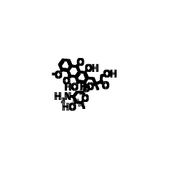 COc1cccc2c1C(=O)c1c(O)c(O[C@H]3CC(N)[C@@H](O)[C@H](C)O3)c(C[C@@](C)(O)C(=O)CO)c(O)c1C2=O